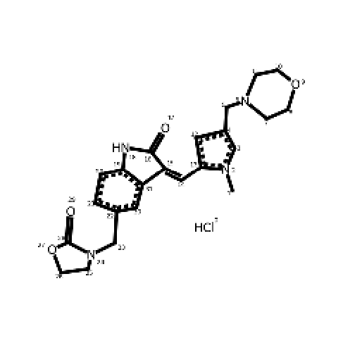 Cl.Cn1cc(CN2CCOCC2)cc1/C=C1\C(=O)Nc2ccc(CN3CCOC3=O)cc21